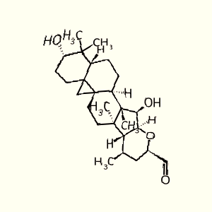 C[C@@H]1C[C@H](C=O)O[C@H]2[C@H]1[C@@]1(C)CC[C@@]34CC35CC[C@H](O)C(C)(C)[C@@H]5CC[C@H]4[C@]1(C)[C@H]2O